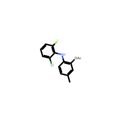 CC(=O)Oc1cc(C)ccc1Nc1c(F)cccc1Cl